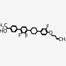 C=CCCOc1ccc(C2CCC(c3ccc(-c4ccc(C(C)O)cc4)c(F)c3F)CC2)cc1F